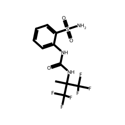 CC(NC(=O)Nc1ccccc1S(N)(=O)=O)(C(F)(F)F)C(F)(F)F